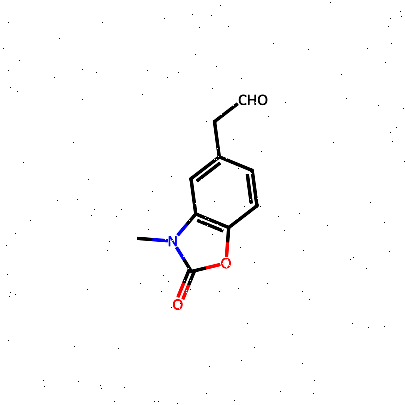 Cn1c(=O)oc2ccc(CC=O)cc21